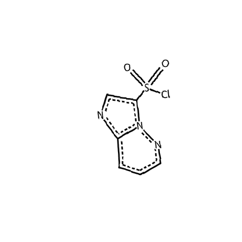 O=S(=O)(Cl)c1cnc2cccnn12